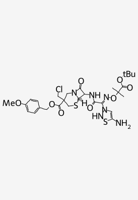 COc1ccc(COC(=O)C2(CCl)CS[C@@H]3C(NC(=O)C(=NOC(C)(C)C(=O)OC(C)(C)C)N4C=C(N)SN4)C(=O)N3C2)cc1